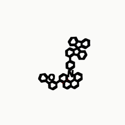 c1ccc2c(c1)-c1ccccc1C21c2ccccc2-c2c(-c3ccc(N(c4ccc(-c5cccc6c5oc5ccccc56)cc4)c4cccc5ccc6ccccc6c45)cc3)cccc21